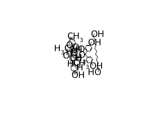 C[C@@H]1CC[C@@]2(OC1)O[C@H]1C[C@H]3[C@@H]4CC[C@H]5C[C@@H](O)CC[C@]5(C)[C@H]4CC(=O)[C@]3(C)[C@H]1[C@@H]2C.O=C(c1ccc(O)cc1)c1ccc(O)cc1O.OCCCCCCCCCCCCO